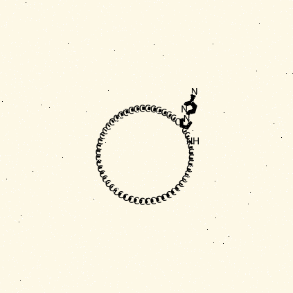 N#Cc1ccc(N2CCC3(CCCCCCCCCCCCCCCCCCCCCCCCCCCCCCCCCCCCCCCCCCCCCCCCNCC3)C2)nc1